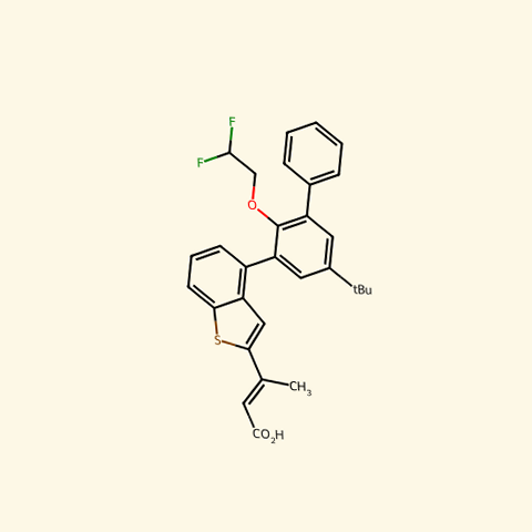 C/C(=C\C(=O)O)c1cc2c(-c3cc(C(C)(C)C)cc(-c4ccccc4)c3OCC(F)F)cccc2s1